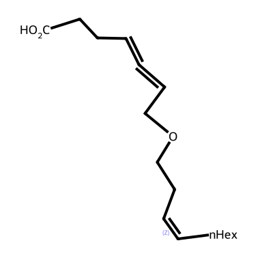 CCCCCC/C=C\CCOCC=C=CCCC(=O)O